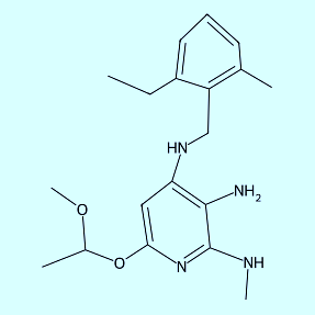 CCc1cccc(C)c1CNc1cc(OC(C)OC)nc(NC)c1N